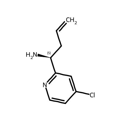 C=CC[C@H](N)c1cc(Cl)ccn1